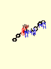 Cc1nc(NC[C@H](NC(=O)OCc2ccc(-c3ccccc3)cc2)C(=O)OC(C)(C)C)c(C)c(N2CCC(c3ccc4c(n3)NCCC4)CC2)n1